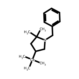 CC1(C)C[CH]([Ge]([CH3])([CH3])[CH3])CN1Cc1ccccc1